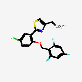 CCOC(=O)Cc1csc(-c2cc(Cl)ccc2OCc2c(F)cc(F)cc2F)n1